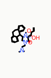 C=CC(=O)/C(O)=C1/C(=O)N(CCN(C)C)CC(C2c3ccccc3CCc3ccccc32)N1C